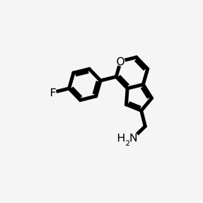 NCc1cc2ccoc(-c3ccc(F)cc3)c-2c1